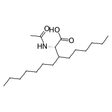 CCCCCCCC(CCCCCC)[C@H](NC(C)=O)C(=O)O